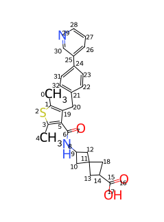 Cc1sc(C)c(C(=O)NC2CC3(C2)CC(C(=O)O)C3)c1Cc1ccc(-c2cccnc2)cc1